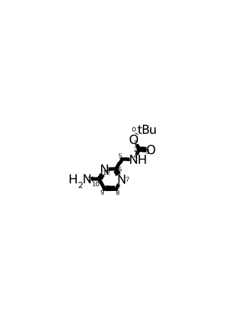 CC(C)(C)OC(=O)NCc1nccc(N)n1